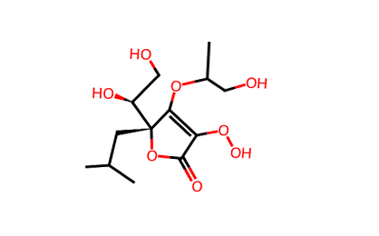 CC(C)C[C@]1([C@@H](O)CO)OC(=O)C(OO)=C1OC(C)CO